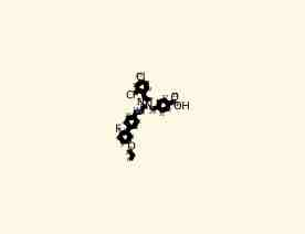 CCCOc1ccc(F)c(-c2ccc(/C=C/c3nc(-c4ccc(Cl)cc4Cl)cn3Cc3ccc(C(=O)O)cc3)cc2)c1